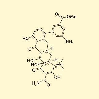 COC(=O)c1cc(N)cc(-c2ccc(O)c3c2C[C@H]2C[C@H]4[C@@H](N(C)C)C(O)=C(C(N)=O)C(=O)[C@]4(O)C(O)=C2C3=O)c1